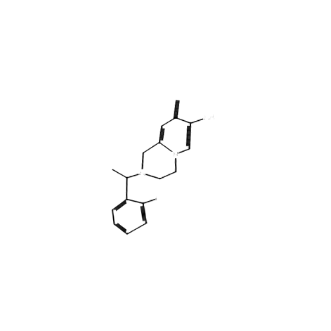 C=C1C=C2CN(C(C)c3ccccc3F)CCN2C=C1N